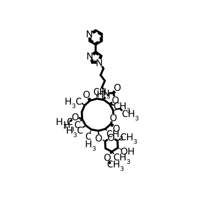 CC[C@H]1OC(=O)[C@H](C)[C@@H](O[C@H]2C[C@@](C)(OC)[C@@H](O)[C@H](C)O2)[C@H](C)[C@@H](C)[C@](C)(OC)C[C@@H](C)C(=O)[C@H](C)[C@H]2N(CCCCn3cnc(-c4cccnc4)c3)C(=O)O[C@]12C